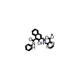 COC(=O)c1nccnc1/N=N/c1cc2ccccc2c(C(=O)Nc2ccccc2)c1O